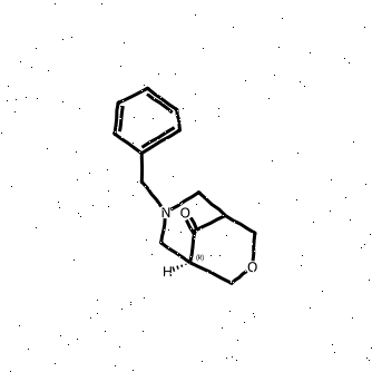 O=C1C2COC[C@H]1CN(Cc1ccccc1)C2